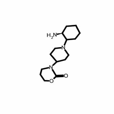 N[C@H]1CCCCC1N1CCC(N2CCCOC2=O)CC1